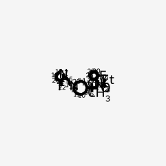 CCC(=O)N(CC(C)(C)C1CCCCN(CCc2ncccc2F)CCC1)c1ccccc1F